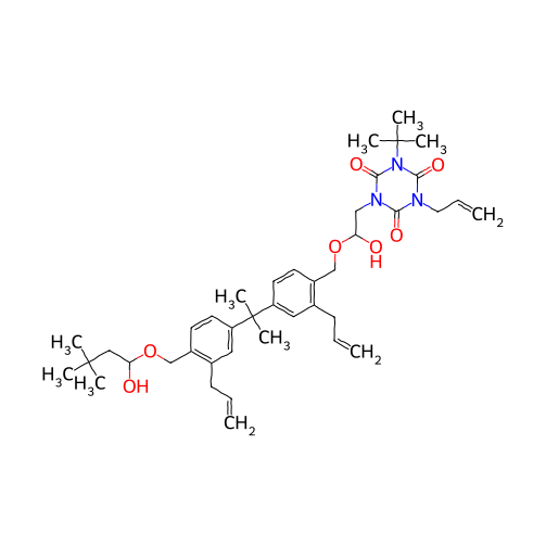 C=CCc1cc(C(C)(C)c2ccc(COC(O)CC(C)(C)C)c(CC=C)c2)ccc1COC(O)Cn1c(=O)n(CC=C)c(=O)n(C(C)(C)C)c1=O